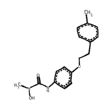 Cc1ccc(CCOc2ccc(NC(=O)N(C)O)cc2)cc1